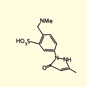 CNCc1ccc(-n2[nH]c(C)cc2=O)cc1S(=O)(=O)O